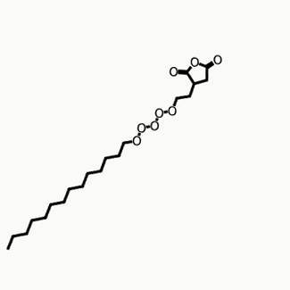 CCCCCCCCCCCCCCOOOOOCCC1CC(=O)OC1=O